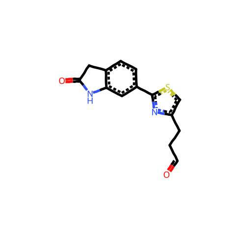 O=CCCc1csc(-c2ccc3c(c2)NC(=O)C3)n1